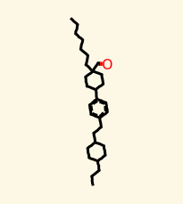 CCCCCCCC1(C=O)CCC(c2ccc(CCC3CCC(CCC)CC3)cc2)CC1